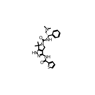 CN(C)C[C@@H](NC(=O)N1Cc2c(NC(=O)c3cccs3)n[nH]c2C1(C)C)c1ccccc1